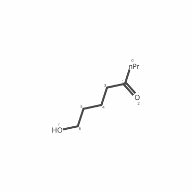 CCCC(=O)CCCCO